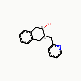 O[C@H]1Cc2ccccc2C[C@@H]1Cc1ccccn1